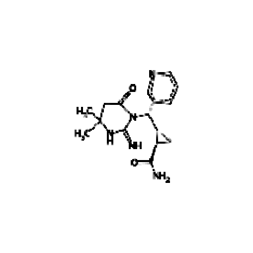 CC1(C)CC(=O)N([C@H](c2cccnc2)[C@@H]2C[C@H]2C(N)=O)C(=N)N1